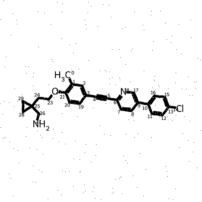 Cc1cc(C#Cc2ccc(-c3ccc(Cl)cc3)cn2)ccc1OCCC1(CN)CC1